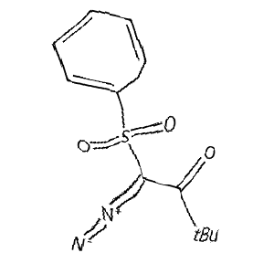 CC(C)(C)C(=O)C(=[N+]=[N-])S(=O)(=O)c1ccccc1